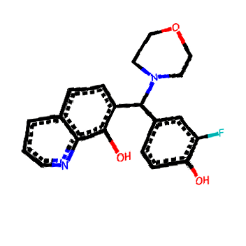 Oc1ccc(C(c2ccc3cccnc3c2O)N2CCOCC2)cc1F